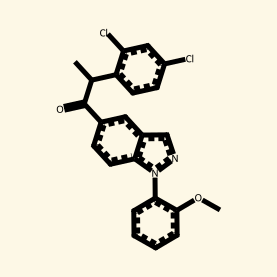 COc1ccccc1-n1ncc2cc(C(=O)C(C)c3ccc(Cl)cc3Cl)ccc21